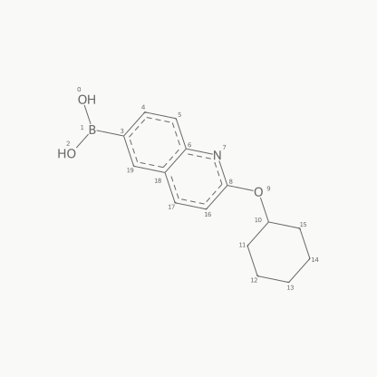 OB(O)c1ccc2nc(OC3CCCCC3)ccc2c1